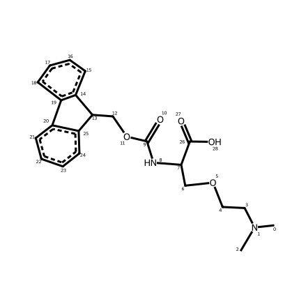 CN(C)CCOCC(NC(=O)OCC1c2ccccc2-c2ccccc21)C(=O)O